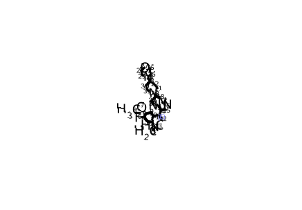 C=Nc1cc(F)c(OC)cc1/C(=C\C)c1cnn2cc(N3CCC(N4CCOCC4)CC3)cnc12